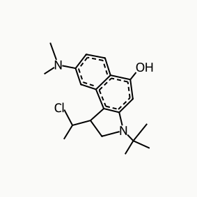 CC(Cl)C1CN(C(C)(C)C)c2cc(O)c3ccc(N(C)C)cc3c21